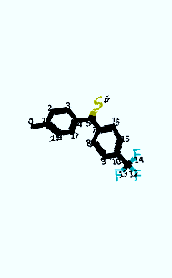 Cc1ccc(C(=S)c2ccc(C(F)(F)F)cc2)cc1